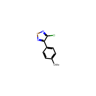 COc1ccc(-c2nsnc2Cl)cc1